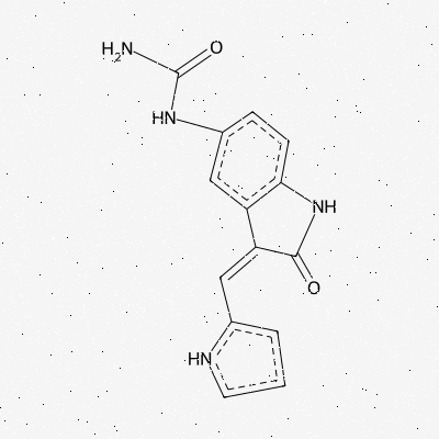 NC(=O)Nc1ccc2c(c1)C(=Cc1ccc[nH]1)C(=O)N2